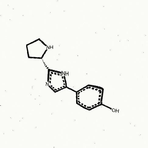 Oc1ccc(-c2cnc([C@@H]3CCCN3)[nH]2)cc1